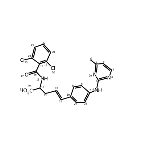 Cc1ccnc(Nc2ccc(C=CCC(NC(=O)c3c(Cl)cccc3Cl)C(=O)O)cc2)n1